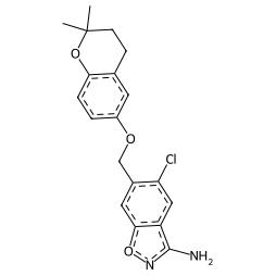 CC1(C)CCc2cc(OCc3cc4onc(N)c4cc3Cl)ccc2O1